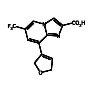 O=C(O)c1cn2cc(C(F)(F)F)cc(C3=CCOC3)c2n1